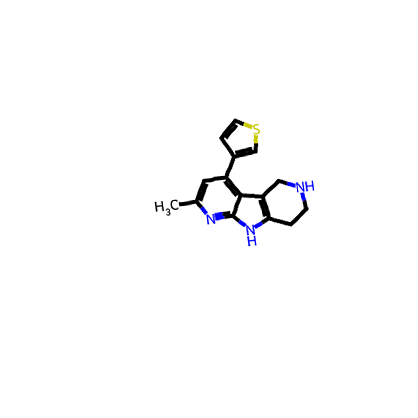 Cc1cc(-c2ccsc2)c2c3c([nH]c2n1)CCNC3